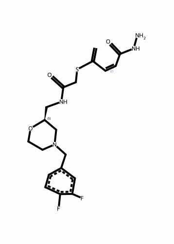 C=C(/C=C\C(=O)NN)SCC(=O)NC[C@H]1CN(Cc2ccc(F)c(F)c2)CCO1